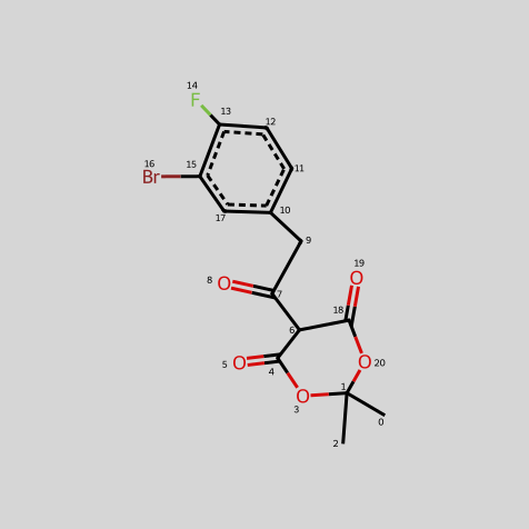 CC1(C)OC(=O)C(C(=O)Cc2ccc(F)c(Br)c2)C(=O)O1